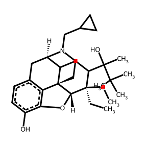 CC[C@@]1(OC)C(C(C)(O)C(C)(C)C)CC2[C@H]3Cc4ccc(O)c5c4[C@@]2(CCN3CC2CC2)[C@H]1O5